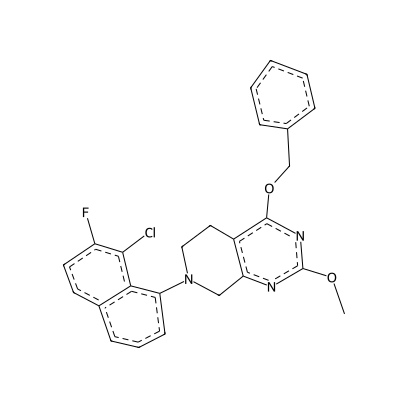 COc1nc2c(c(OCc3ccccc3)n1)CCN(c1cccc3ccc(F)c(Cl)c13)C2